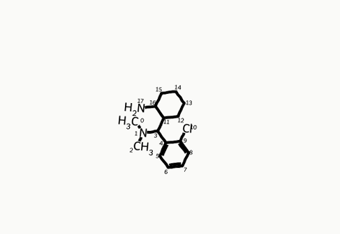 CN(C)C(c1ccccc1Cl)C1CCCCC1N